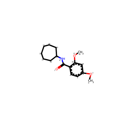 COc1ccc(C(=O)NC2CCCCCC2)c(OC)c1